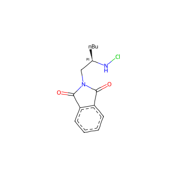 CCCC[C@H](CN1C(=O)c2ccccc2C1=O)NCl